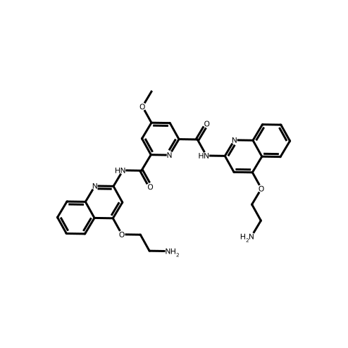 COc1cc(C(=O)Nc2cc(OCCN)c3ccccc3n2)nc(C(=O)Nc2cc(OCCN)c3ccccc3n2)c1